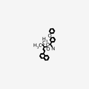 CC(C)C(C=Cc1cccc2ccccc12)C(=O)OC(C#N)c1cccc(Oc2ccccc2)c1